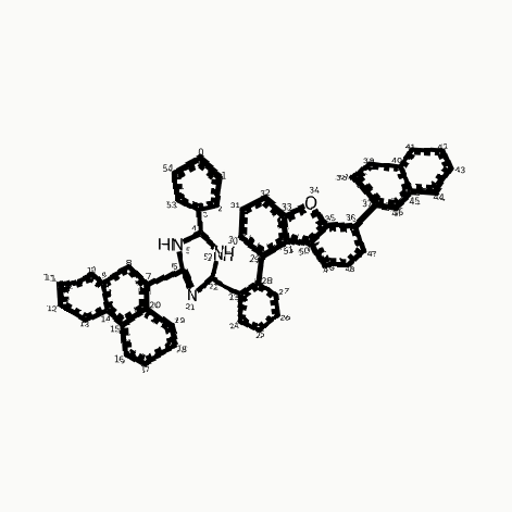 c1ccc(C2NC(c3cc4ccccc4c4ccccc34)=NC(c3ccccc3-c3cccc4oc5c(-c6ccc7ccccc7c6)cccc5c34)N2)cc1